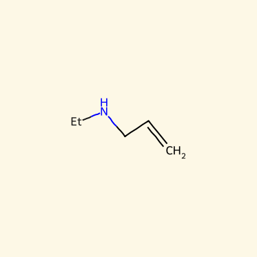 [CH2]CNCC=C